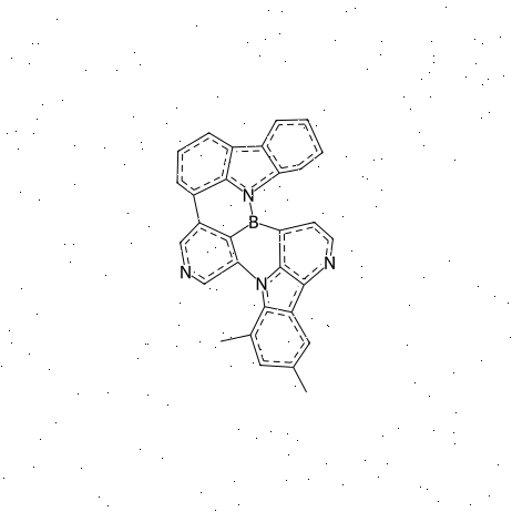 Cc1cc(C)c2c(c1)c1nccc3c1n2-c1cncc2c1B3n1c3ccccc3c3cccc-2c31